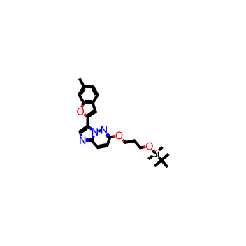 Cc1ccc2cc(-c3cnc4ccc(OCCCO[Si](C)(C)C(C)(C)C)nn34)oc2c1